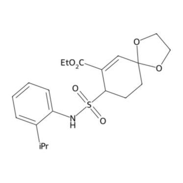 CCOC(=O)C1=CC2(CCC1S(=O)(=O)Nc1ccccc1C(C)C)OCCO2